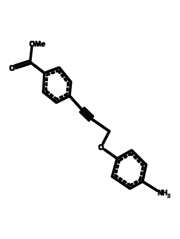 COC(=O)c1ccc(C#CCOc2ccc(N)cc2)cc1